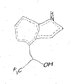 OC(c1cccc2[nH]ccc12)C(F)(F)F